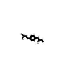 CCC(=O)Cc1ccc(C[CH]C(C)C)cc1